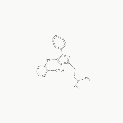 CN(C)CCn1cc(-c2ccccc2)c(Nc2cnccc2C(=O)O)n1